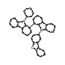 c1ccc(-n2c3ccccc3c3cccc(-c4cccc5c6ccccc6n(-c6ccc7oc8ccccc8c7c6)c45)c32)cc1